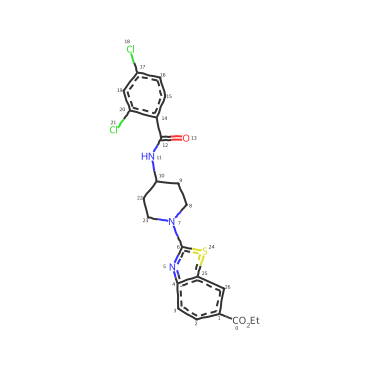 CCOC(=O)c1ccc2nc(N3CCC(NC(=O)c4ccc(Cl)cc4Cl)CC3)sc2c1